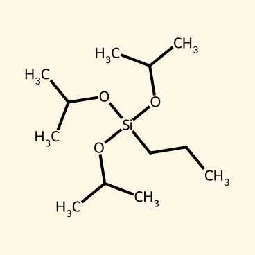 CCC[Si](OC(C)C)(OC(C)C)OC(C)C